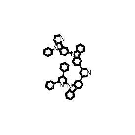 c1ccc(-c2cc(-c3ccccc3)nc(-n3c4ccccc4c4ccc(-c5cncc(-c6ccc7c(c6)c6ccccc6n7-c6ccc7c(c6)c6ncccc6n7-c6ccccc6)c5)cc43)c2)cc1